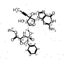 CC#CC1(O)[C@@H](O)[C@@H](COP(=O)(N[C@@H](C)C(=O)OC(C)C)Oc2ccccc2)O[C@H]1n1cnc2c(=O)[nH]c(N)nc21